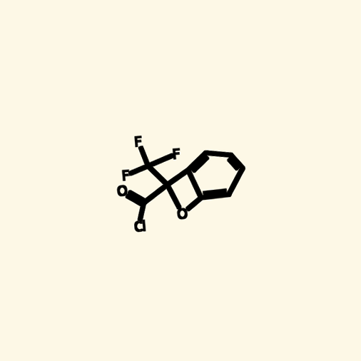 O=C(Cl)C1(C(F)(F)F)Oc2ccccc21